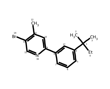 CCC(C)(C)c1cccc(-c2cc(C)c(Br)cn2)c1